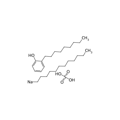 CCCCCCCCCCC[CH2][Na].CCCCCCCCCc1ccccc1O.O=S(=O)(O)O